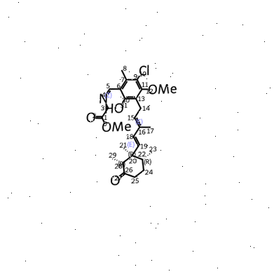 COC(=O)C/N=C\c1c(C)c(Cl)c(OC)c(C/C=C(C)/C=C/[C@@]2(C)[C@H](C)CCC(=O)[C@@H]2C)c1O